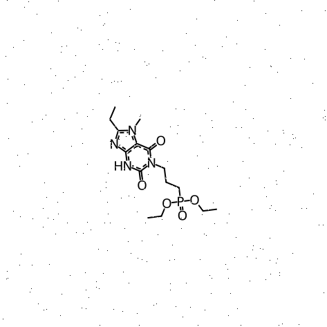 CCOP(=O)(CCCn1c(=O)[nH]c2nc(CC)n(C)c2c1=O)OCC